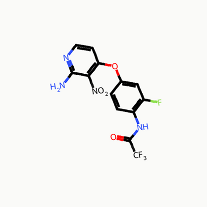 Nc1nccc(Oc2ccc(NC(=O)C(F)(F)F)c(F)c2)c1[N+](=O)[O-]